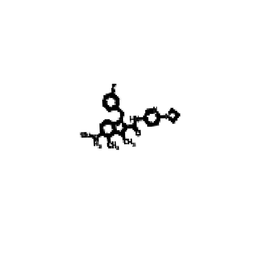 Cc1c([SiH2]C(C)(C)C)ccc2c1c(C)c(C(=O)Nc1ccc(N3CCC3)nc1)n2Cc1cccc(F)c1